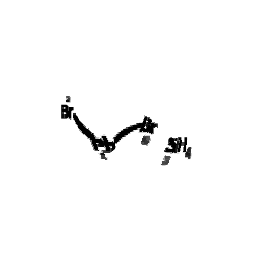 [Br][Pb][Br].[SiH4]